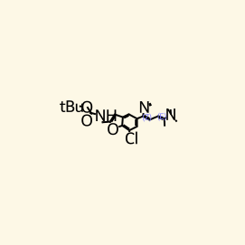 C=N/C(=C\C=C(/C)N(C)C)c1cc(Cl)c2oc(CNC(=O)OC(C)(C)C)cc2c1